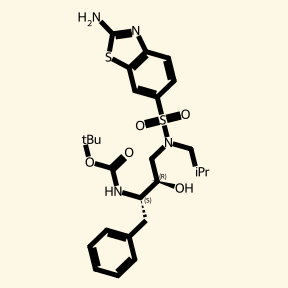 CC(C)CN(C[C@@H](O)[C@H](Cc1ccccc1)NC(=O)OC(C)(C)C)S(=O)(=O)c1ccc2nc(N)sc2c1